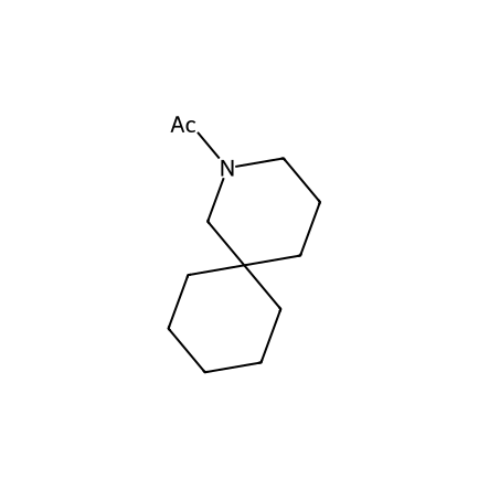 CC(=O)N1CCCC2(CCCCC2)C1